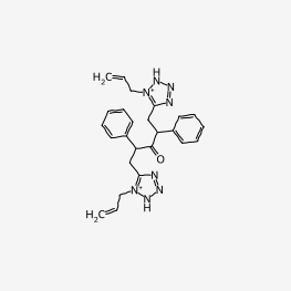 C=CC[n+]1[nH]nnc1CC(C(=O)C(Cc1nn[nH][n+]1CC=C)c1ccccc1)c1ccccc1